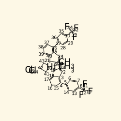 CC1=Cc2c(-c3ccc(C(F)(F)F)cc3)cccc2[CH]1[Hf+2]1([CH]2C(C)=Cc3c(-c4ccc(C(F)(F)F)cc4)cccc32)[CH2]C[CH2]1.[Cl-].[Cl-]